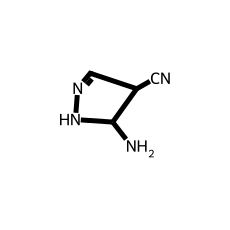 N#CC1C=NNC1N